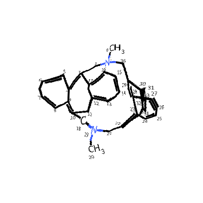 CN1CC2=c3ccccc3=C(Cc3ccccc32)CN(C)Cc2c3ccc#cc3c(c3ccccc23)C1